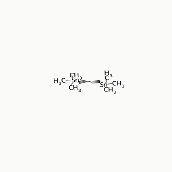 [CH3][Sn]([CH3])([CH3])[C]#CC#[C][Sn]([CH3])([CH3])[CH3]